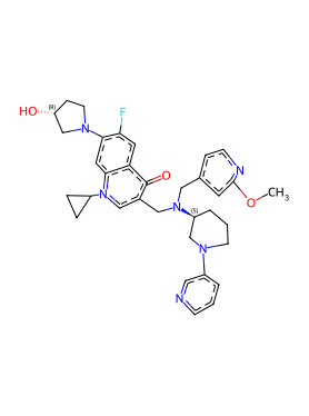 COc1cc(CN(Cc2cn(C3CC3)c3cc(N4CC[C@@H](O)C4)c(F)cc3c2=O)[C@H]2CCCN(c3cccnc3)C2)ccn1